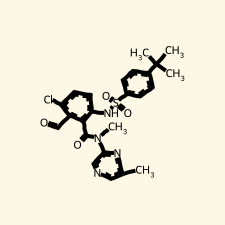 Cc1cncc(N(C)C(=O)c2c(NS(=O)(=O)c3ccc(C(C)(C)C)cc3)ccc(Cl)c2C=O)n1